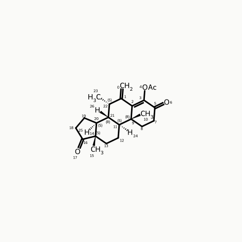 C=C1C2=C(OC(C)=O)C(=O)CC[C@]2(C)[C@H]2CC[C@]3(C)C(=O)CC[C@H]3[C@@H]2[C@@H]1C